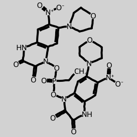 CCP(=O)(On1c(=O)c(=O)[nH]c2cc([N+](=O)[O-])c(N3CCOCC3)cc21)On1c(=O)c(=O)[nH]c2cc([N+](=O)[O-])c(N3CCOCC3)cc21